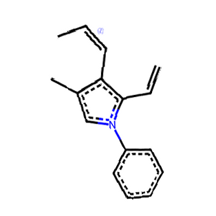 C=Cc1c(/C=C\C)c(C)cn1-c1ccccc1